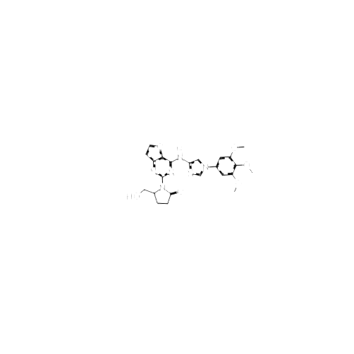 COc1cc(-n2cnc(Nc3nc(N4C(=O)CCC4CO)nc4ccoc34)c2)cc(OC)c1OC